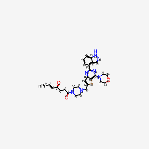 CCCC=CC(=O)CCC(=O)N1CCN(Cc2cc3nc(-c4cccc5[nH]ncc45)nc(N4CCOCC4)c3s2)CC1